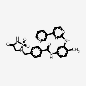 Cc1ccc(NC(=O)c2ccc(CN3CC(=O)NS3(=O)=O)cc2)cc1Nc1nccc(-c2cccnc2)n1